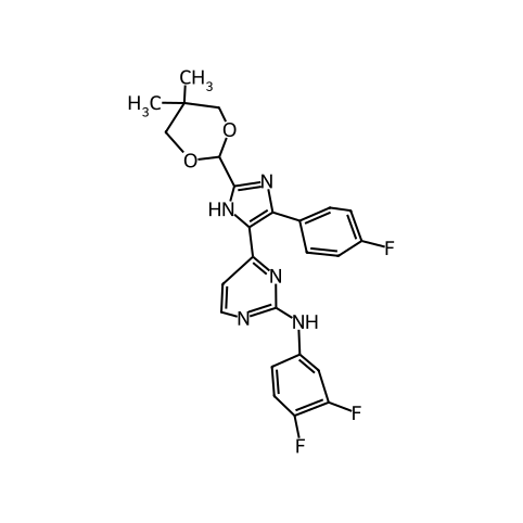 CC1(C)COC(c2nc(-c3ccc(F)cc3)c(-c3ccnc(Nc4ccc(F)c(F)c4)n3)[nH]2)OC1